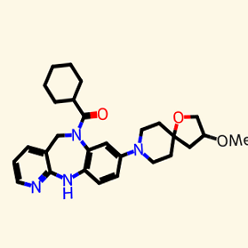 COC1COC2(CCN(c3ccc4c(c3)N(C(=O)C3CCCCC3)Cc3cccnc3N4)CC2)C1